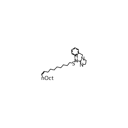 CCCCCCCC/C=C\CCCCCCCCSNC1=NCCN1Cc1ccccc1